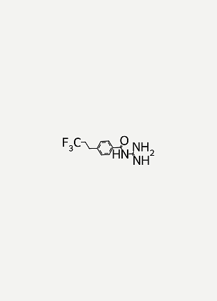 N=C(N)NC(=O)c1ccc(CCC(F)(F)F)cc1